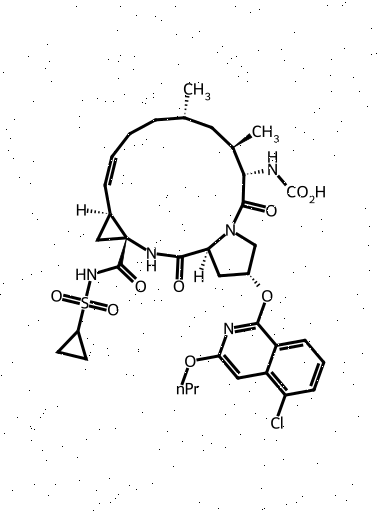 CCCOc1cc2c(Cl)cccc2c(O[C@@H]2C[C@H]3C(=O)N[C@]4(C(=O)NS(=O)(=O)C5CC5)C[C@H]4/C=C\CC[C@H](C)C[C@@H](C)[C@H](NC(=O)O)C(=O)N3C2)n1